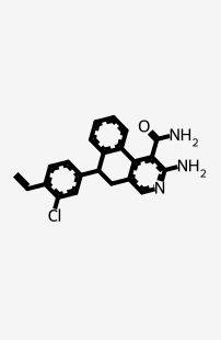 C=Cc1ccc(C2Cc3cnc(N)c(C(N)=O)c3-c3ccccc32)cc1Cl